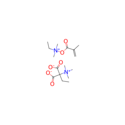 C=C(C)C(=O)O[N+](C)(C)CC.CCC(C(=O)[O-])(C(=O)[O-])[N+](C)(C)C